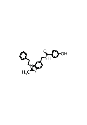 Cc1nc2ccc(CNC(=O)c3ccc(O)cc3)cc2n1CCc1ccccc1